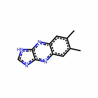 Cc1cc2nc3nc[nH]c3nc2cc1C